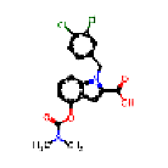 CN(C)C(=O)Oc1cccc2c1cc(C(=O)O)n2Cc1ccc(Cl)c(Cl)c1